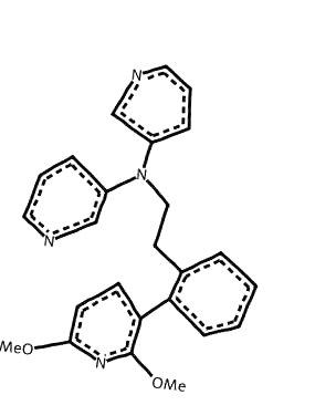 COc1ccc(-c2ccccc2CCN(c2cccnc2)c2cccnc2)c(OC)n1